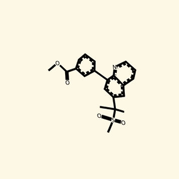 COC(=O)c1cccc(-c2cc(C(C)(C)S(C)(=O)=O)cc3cccnc23)c1